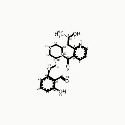 C[C@H](O)Cc1ncccc1C(=O)N1CCSC[C@H]1COc1cccc(O)c1C=O